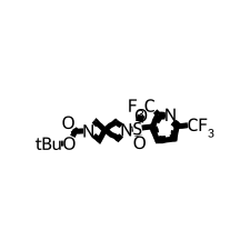 CC(C)(C)OC(=O)N1CC2(C1)CN(S(=O)(=O)c1ccc(C(F)(F)F)nc1C(F)(F)F)C2